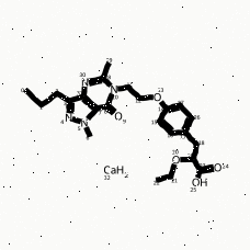 CCCc1nn(C)c2c(=O)n(CCOc3ccc(CC(OCC)C(=O)O)cc3)c(C)nc12.[CaH2]